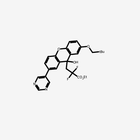 CCOC(=O)C(F)(F)CC1(O)c2cc(OCC(C)(C)C)ccc2Oc2ccc(-c3cncnc3)cc21